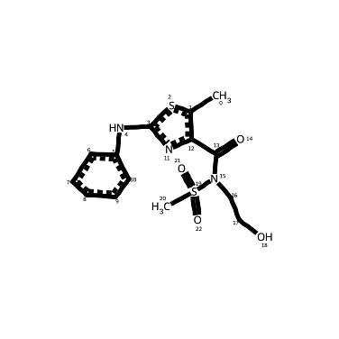 Cc1sc(Nc2ccccc2)nc1C(=O)N(CCO)S(C)(=O)=O